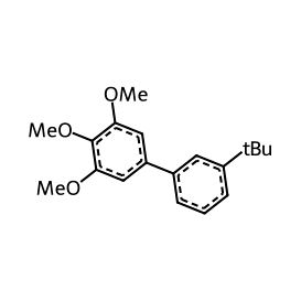 COc1cc(-c2cccc(C(C)(C)C)c2)cc(OC)c1OC